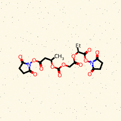 CCC(OC(=O)COC(=O)OC(C)CC(=O)ON1C(=O)CCC1=O)C(=O)ON1C(=O)CCC1=O